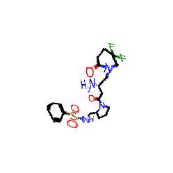 N[C@@H](CC(=O)N1CCCC1CNS(=O)(=O)c1ccccc1)CN1CC(F)(F)CCC1=O